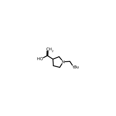 C=C(O)C1CCN(CC(C)(C)C)C1